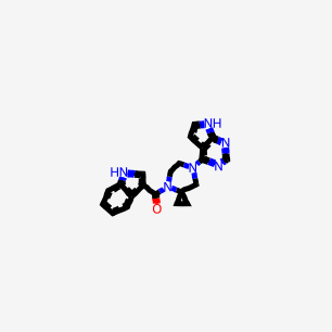 O=C(c1c[nH]c2ccccc12)N1CCN(c2ncnc3[nH]ccc23)CC12CC2